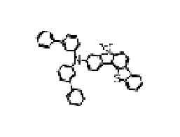 C[Si]1(C)c2cc(N(c3cccc(-c4ccccc4)c3)c3cccc(-c4ccccc4)c3)ccc2-c2c1ccc1c2sc2ccccc21